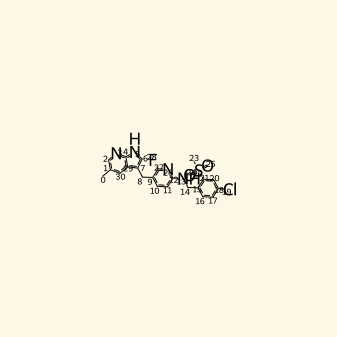 Cc1cnc2[nH]cc(Cc3ccc(NCc4ccc(Cl)cc4S(C)(=O)=O)nc3F)c2c1